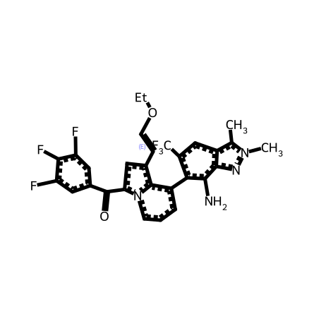 CCO/C=C/c1cc(C(=O)c2cc(F)c(F)c(F)c2)n2cccc(-c3c(C(F)(F)F)cc4c(C)n(C)nc4c3N)c12